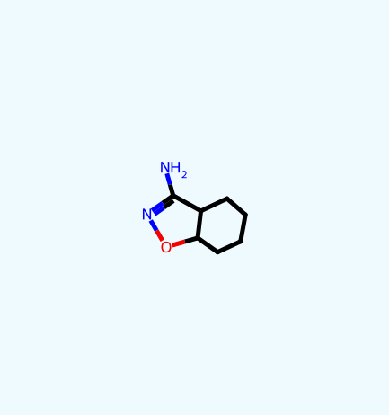 NC1=NOC2CCCCC12